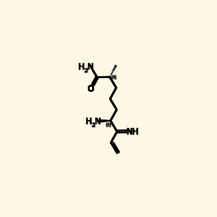 C=CC(=N)[C@@H](N)CCC[C@@H](C)C(N)=O